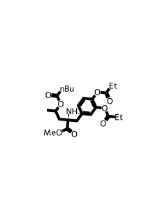 CCCCC(=O)OC(C)C[C@@](N)(Cc1ccc(OC(=O)CC)c(OC(=O)CC)c1)C(=O)OC